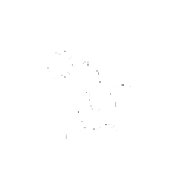 CCC(C)[C@H]1C(=O)Nc2ccccc2CN1c1nc(C)cc(=O)[nH]1